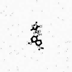 COC1=CCC(NS(=O)(=O)c2c(C)nn(C)c2Cl)C2=C1C[C@@H](N(C)C)CC2